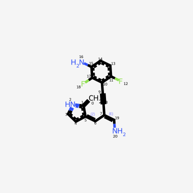 C=c1[nH]cc/c1=C/C(C#Cc1c(F)ccc(N)c1F)=C\N